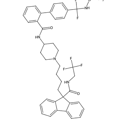 CONC(F)(F)c1ccc(-c2ccccc2C(=O)NC2CCN(CCCCC3(C(=O)NCC(F)(F)F)c4ccccc4-c4ccccc43)CC2)cc1